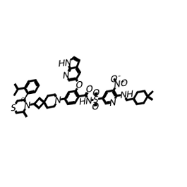 CC(C)c1ccccc1[C@@H]1CSCC(C)N1C1CC2(CCN(c3ccc(C(=O)NS(=O)(=O)c4cnc(NCC5CCC(C)(C)CC5)c([N+](=O)[O-])c4)c(Oc4cnc5[nH]ccc5c4)c3)CC2)C1